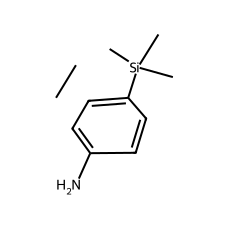 CC.C[Si](C)(C)c1ccc(N)cc1